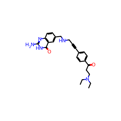 CCN(CC)CCC(=O)c1ccc(C#CCNCc2ccc3nc(N)[nH]c(=O)c3c2)cc1